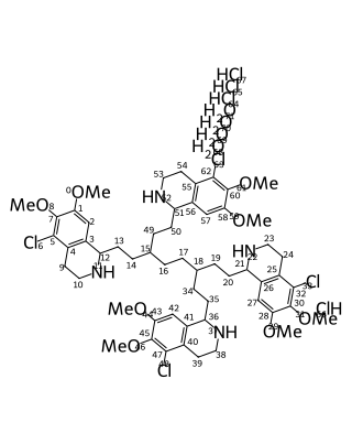 COc1cc2c(c(Cl)c1OC)CCNC2CCC(CCC(CCC1NCCc2c1cc(OC)c(OC)c2Cl)CCC1NCCc2c1cc(OC)c(OC)c2Cl)CCC1NCCc2c1cc(OC)c(OC)c2Cl.Cl.Cl.Cl.Cl.O.O.O.O